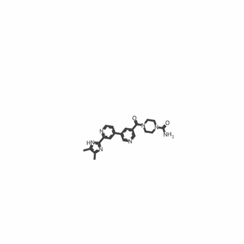 Cc1nc(-c2cc(-c3cncc(C(=O)N4CCN(C(N)=O)CC4)c3)ccn2)[nH]c1C